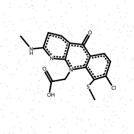 CNc1ccc2c(=O)c3ccc(Cl)c(SC)c3n(CC(=O)O)c2n1